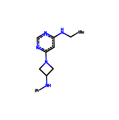 CC(C)NC1CN(c2cc(NCC(C)(C)C)ncn2)C1